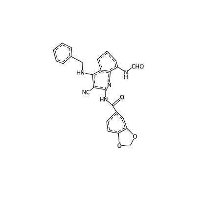 N#Cc1c(NC(=O)c2ccc3c(c2)OCO3)nc2c(NC=O)cccc2c1NCc1ccccc1